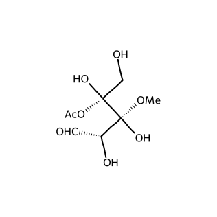 CO[C@](O)([C@H](O)C=O)[C@@](O)(CO)OC(C)=O